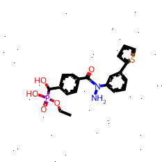 CCOP(=O)(O)C(O)c1ccc(C(=O)N(N)c2cccc(-c3cccs3)c2)cc1